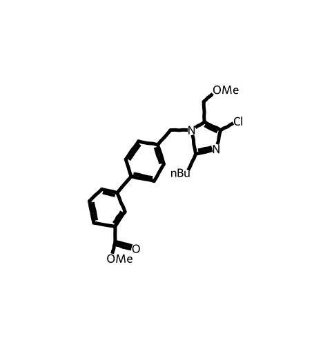 CCCCc1nc(Cl)c(COC)n1Cc1ccc(-c2cccc(C(=O)OC)c2)cc1